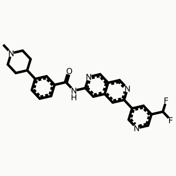 CN1CCC(c2cccc(C(=O)Nc3cc4cc(-c5cncc(C(F)F)c5)ncc4cn3)c2)CC1